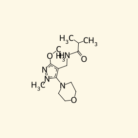 COc1nn(C)c(N2CCOCC2)c1CNC(=O)C(C)C